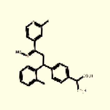 Cc1cc(/C(CC(c2ccc(C(C(=O)O)C(=O)O)cc2)c2ccccc2C)=N\O)ccn1